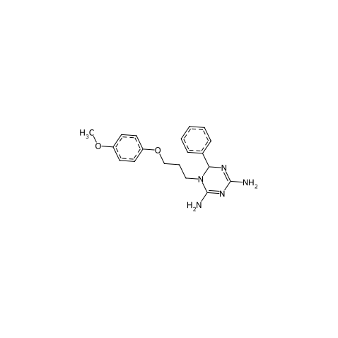 COc1ccc(OCCCN2C(N)=NC(N)=NC2c2ccccc2)cc1